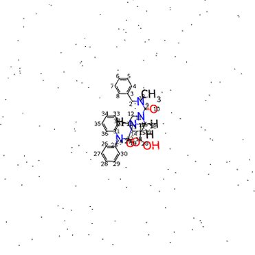 CN(Cc1ccccc1)C(=O)N1C[C@H]2CC[C@@H]1[C@@H](C(=O)O)N2C(=O)N(c1ccccc1)c1ccccc1